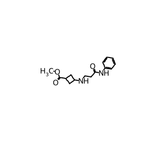 COC(=O)C1CC(NCCC(=O)Nc2ccccc2)C1